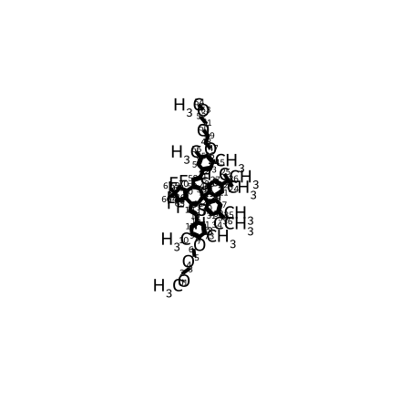 COCCOCCOc1c(C)cc(-c2cc3c(s2)C(c2ccc(C(C)(C)C)cc2)(c2ccc(C(C)(C)C)cc2)c2sc(-c4cc(C)c(OCCOCCOC)c(C)c4)cc2C2=C3C(F)(F)C(I)(I)C2(F)F)cc1C